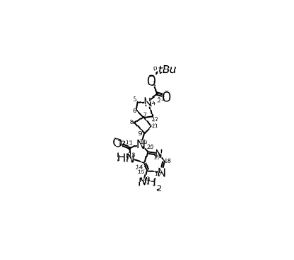 CC(C)(C)OC(=O)N1CCC2(CC(n3c(=O)[nH]c4c(N)ncnc43)C2)C1